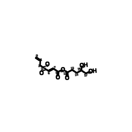 C=CCS(=O)(=O)C=CC(=O)OC(=O)CCC(O)CO